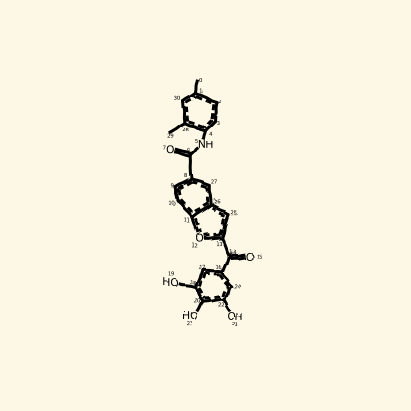 Cc1ccc(NC(=O)c2ccc3oc(C(=O)c4cc(O)c(O)c(O)c4)cc3c2)c(C)c1